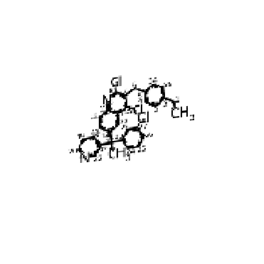 CCc1ccc(Cc2c(Cl)nc3ccc(C(C)(c4cccnc4)c4cccc(Cl)c4)cc3c2Cl)cc1